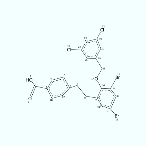 O=C(O)c1ccc(CCc2nc(Br)cc(Br)c2OCc2cc(Cl)nc(Cl)c2)cc1